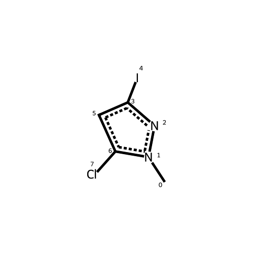 Cn1nc(I)cc1Cl